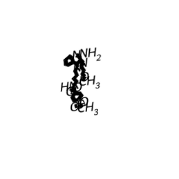 COCCc1nc2c(N)nc3ccccc3c2n1CCCCNS(=O)(=O)c1ccc(S(C)(=O)=O)cc1